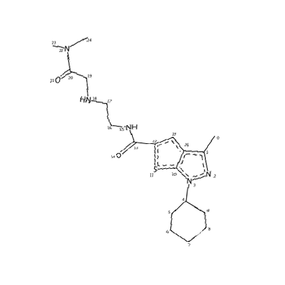 Cc1nn(C2CCCCC2)c2sc(C(=O)NCCNCC(=O)N(C)C)cc12